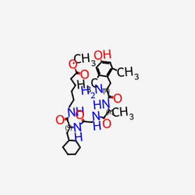 COC(=O)CCCCCNC(=O)[C@H](CC1CCCCC1)NC(=O)CNC(=O)[C@@H](C)NC(=O)[C@H](N)Cc1c(C)cc(O)cc1C